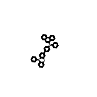 c1ccc(N2c3ccccc3Sc3cc(-c4ccc(N(c5ccccc5)c5cc6ccccc6c6ccccc56)cc4)ccc32)cc1